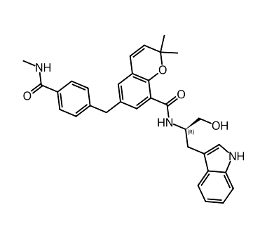 CNC(=O)c1ccc(Cc2cc3c(c(C(=O)N[C@@H](CO)Cc4c[nH]c5ccccc45)c2)OC(C)(C)C=C3)cc1